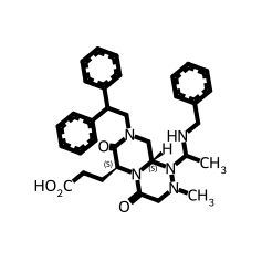 CC(NCc1ccccc1)N1[C@H]2CN(CC(c3ccccc3)c3ccccc3)C(=O)[C@H](CCC(=O)O)N2C(=O)CN1C